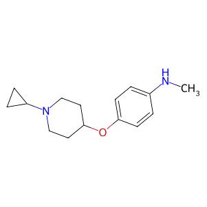 CNc1ccc(OC2CCN(C3CC3)CC2)cc1